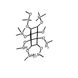 COC12C3(O[SiH2]C)C4(O[SiH2]C)C5(O[SiH2]C)C3(O[SiH2]C)C1(O[Si](C)(C)C)C5(O[Si](C)(C)OC)C24O[Si](C)(C)C